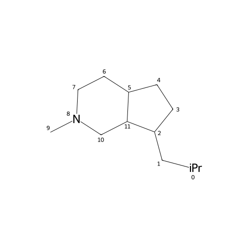 CC(C)CC1CCC2CCN(C)CC21